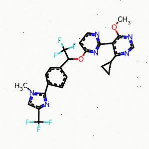 COc1ncnc(C2CC2)c1-c1nccc(OC(c2ccc(-c3nc(C(F)(F)F)cn3C)cc2)C(F)(F)F)n1